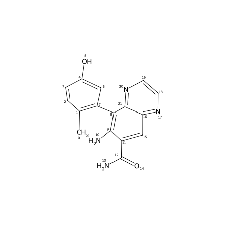 Cc1ccc(O)cc1-c1c(N)c(C(N)=O)cc2nccnc12